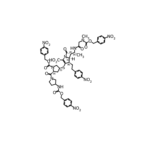 C[C@@H](NC(=O)CN(C)C(=O)OCc1ccc([N+](=O)[O-])cc1)[C@H]1C(=O)N2C(C(=O)O)=C(S[C@H]3C[C@@H](C(=O)N4CCC(NC(=O)OCc5ccc([N+](=O)[O-])cc5)C4)N(C(=O)OCc4ccc([N+](=O)[O-])cc4)C3)[C@H](CCc3ccc([N+](=O)[O-])cc3)[C@H]12